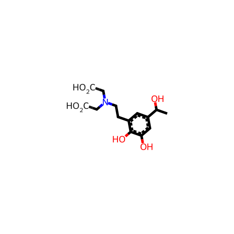 CC(O)c1cc(O)c(O)c(CCN(CC(=O)O)CC(=O)O)c1